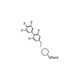 CCCCC[C@H]1CC[C@H](CCc2cc(F)c(-c3cc(F)c(F)c(F)c3)c(F)c2)CC1